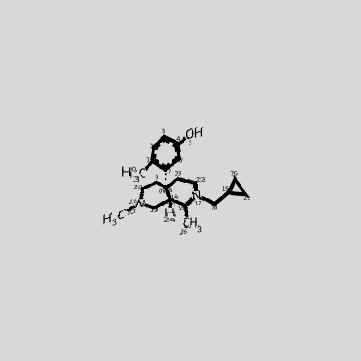 Cc1ccc(O)cc1[C@@]12CCN(C)C[C@H]1C(C)N(CC1CC1)CC2